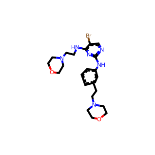 Brc1cnc(Nc2cccc(CCN3CCOCC3)c2)nc1NCCN1CCOCC1